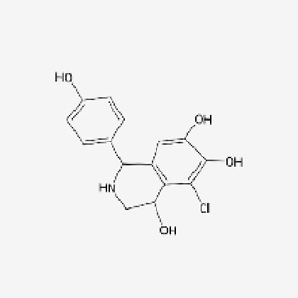 Oc1ccc(C2NCC(O)c3c2cc(O)c(O)c3Cl)cc1